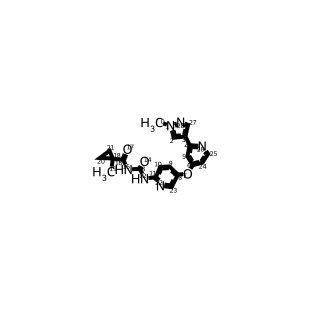 Cn1cc(-c2cc(Oc3ccc(NC(=O)NC(=O)C4(C)CC4)nc3)ccn2)cn1